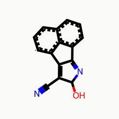 N#CC1=C2C(=NC1O)c1cccc3cc[c]c2c13